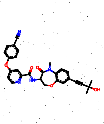 CN1C(=O)C(NC(=O)c2cc(Oc3ccc(C#N)cc3)ccn2)COc2cc(C#CC(C)(C)O)ccc21